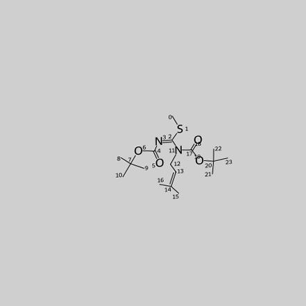 CSC(=NC(=O)OC(C)(C)C)N(CC=C(C)C)C(=O)OC(C)(C)C